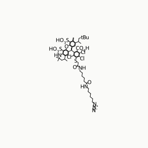 C=c1c(C(C)CC(C)(C)C)cc2c(c1S(=O)(=O)O)Oc1c(cc3c(c1S(=O)(=O)O)NC(C)(C)CC3C)C=2c1c(Cl)c(SCC(=O)NCCCCCC(=O)NCCCCCCN=[N+]=[N-])c(Cl)c(Cl)c1C(=O)O